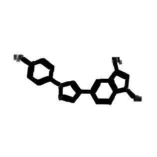 CC(C)(C)n1cc(N)c2cc(-c3cnn(-c4ccc(C(F)(F)F)cc4)c3)ccc21